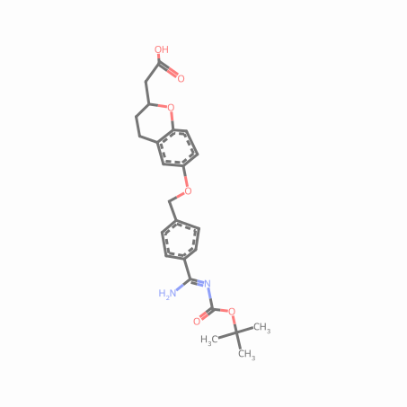 CC(C)(C)OC(=O)N=C(N)c1ccc(COc2ccc3c(c2)CCC(CC(=O)O)O3)cc1